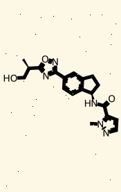 C[C@H](CO)c1nc(-c2ccc3c(c2)CC[C@H]3NC(=O)c2ccnn2C)no1